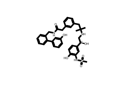 CC(C)(Cc1cccc(CC(=O)NCc2ccccc2-c2cccc(O)c2)c1)NC[C@@H](O)c1ccc(O)c(NS(C)(=O)=O)c1